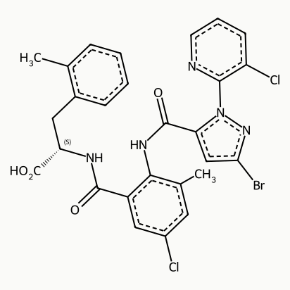 Cc1ccccc1C[C@H](NC(=O)c1cc(Cl)cc(C)c1NC(=O)c1cc(Br)nn1-c1ncccc1Cl)C(=O)O